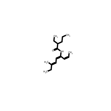 C\C=C/C(=C\C=C(/C)CC)NC(=O)C(CC)CCC